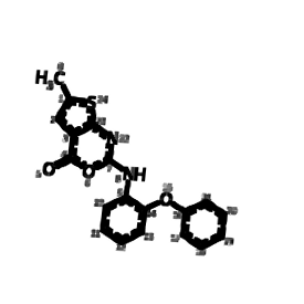 Cc1cc2c(=O)oc(Nc3ccccc3Oc3ccccc3)nc2s1